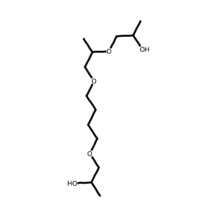 CC(O)COCCCCOCC(C)OCC(C)O